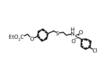 CCOC(=O)COc1ccc(CSCCNS(=O)(=O)c2ccc(Cl)cc2)cc1